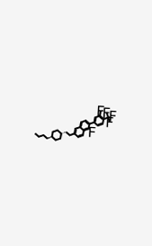 CCCC[C@H]1CC[C@H](CCc2ccc3c(F)c(-c4ccc(C(F)(F)F)c(F)c4)ccc3c2)CC1